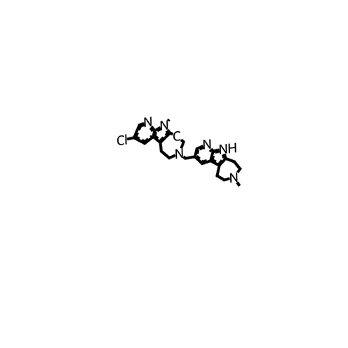 CN1CCc2[nH]c3ncc(CN4CCc5c(n(C)c6ncc(Cl)cc56)CC4)cc3c2CC1